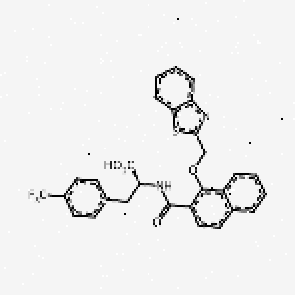 O=C(N[C@@H](Cc1ccc(C(F)(F)F)cc1)C(=O)O)c1ccc2ccccc2c1OCc1nc2ccccc2s1